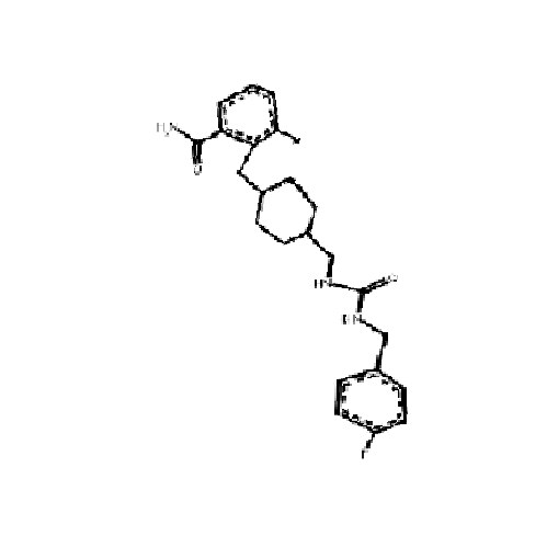 Cc1cccc(C(N)=O)c1CC1CCC(CNC(=O)NCc2ccc(F)cc2)CC1